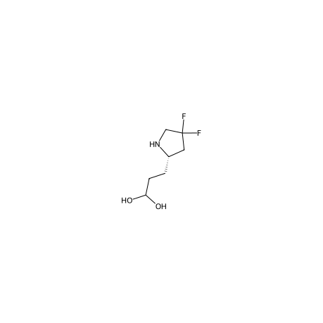 OC(O)CC[C@H]1CC(F)(F)CN1